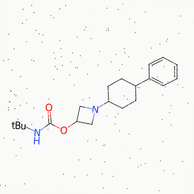 CC(C)(C)NC(=O)OC1CN(C2CCC(c3ccccc3)CC2)C1